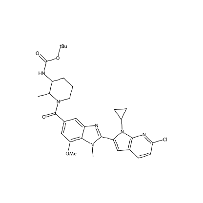 COc1cc(C(=O)N2CCCC(NC(=O)OC(C)(C)C)C2C)cc2nc(-c3cc4ccc(Cl)nc4n3C3CC3)n(C)c12